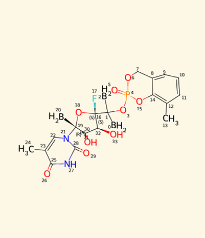 BC(B)(OP1(=O)OCc2cccc(C)c2O1)[C@@]1(F)O[C@@](B)(n2cc(C)c(=O)[nH]c2=O)[C@H](O)[C@@H]1O